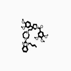 CC=CCn1c(N2CCCN(CCC3(c4ccc(OC)c(OC)c4)CCN(C(=O)c4cc(OC)c(OC)c(OC)c4)C3)CC2)nc2ccccc21